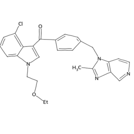 CCOCCn1cc(C(=O)c2ccc(Cn3c(C)nc4cnccc43)cc2)c2c(Cl)cccc21